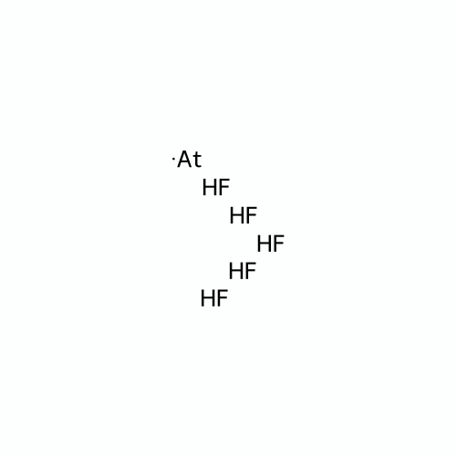 F.F.F.F.F.[At]